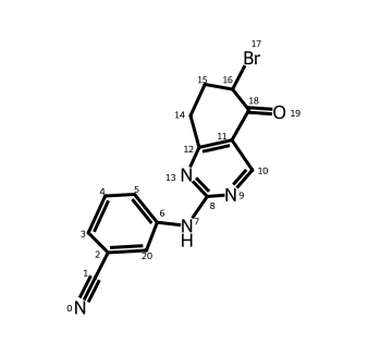 N#Cc1cccc(Nc2ncc3c(n2)CCC(Br)C3=O)c1